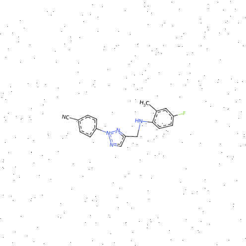 Cc1cc(F)ccc1NCc1cnn(-c2ccc(C#N)cc2)n1